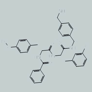 CCOc1ccc(C[C@@H](NC(=O)c2ccccc2)C(=O)N[C@@H](Cc2cccc(F)c2)C(=O)NCc2ccc(CN)cc2)cc1